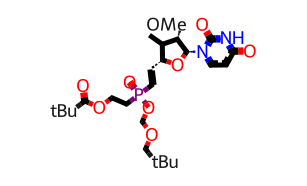 CO[C@H]1C(C)[C@@H](/C=C/P(=O)(CCOC(=O)C(C)(C)C)OCOCC(C)(C)C)O[C@H]1n1ccc(=O)[nH]c1=O